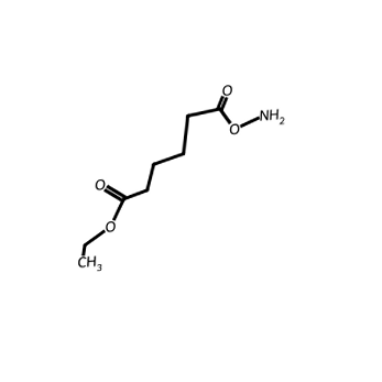 CCOC(=O)CCCCC(=O)ON